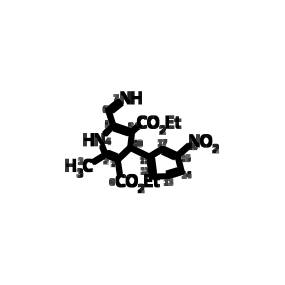 CCOC(=O)C1=C(C)NC(C=N)=C(C(=O)OCC)C1c1cccc([N+](=O)[O-])c1